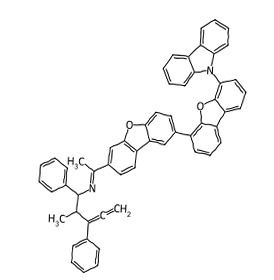 C=C=C(c1ccccc1)C(C)C(/N=C(\C)c1ccc2c(c1)oc1ccc(-c3cccc4c3oc3c(-n5c6ccccc6c6ccccc65)cccc34)cc12)c1ccccc1